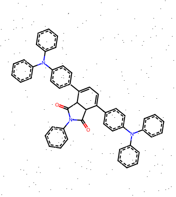 O=C1C2C(c3ccc(N(c4ccccc4)c4ccccc4)cc3)=CC=C(c3ccc(N(c4ccccc4)c4ccccc4)cc3)C2C(=O)N1c1ccccc1